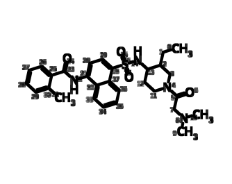 CCC1CN(C(=O)CN(C)C)CCC1NS(=O)(=O)c1ccc(NC(=O)c2ccccc2C)c2ccccc12